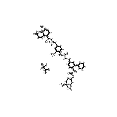 Cc1cc(CNC[C@H](O)c2ccc(O)c3[nH]c(=O)ccc23)ccc1NC(=O)CCc1ccc(NC(=O)OC2CC[N+](C)(C)CC2)c(-c2ccccc2)c1.O=C([O-])C(F)(F)F